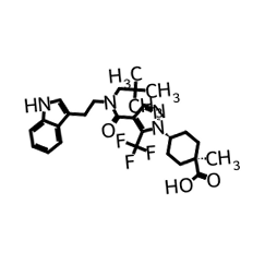 CC(C)(C)CN(CCc1c[nH]c2ccccc12)C(=O)c1cnn([C@H]2CC[C@](C)(C(=O)O)CC2)c1C(F)(F)F